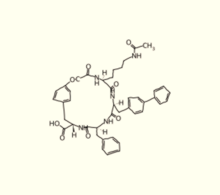 CC(=O)NCCCC[C@@H]1NC(=O)COc2ccc(cc2)C[C@@H](C(=O)O)NC(=O)[C@H](Cc2ccccc2)NC(=O)[C@H](Cc2ccc(-c3ccccc3)cc2)NC1=O